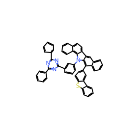 c1ccc(-c2nc(-c3ccccc3)nc(-c3cccc(-n4c5c(-c6ccc7sc8ccccc8c7c6)c6ccccc6cc5c5ccc6ccccc6c54)c3)n2)cc1